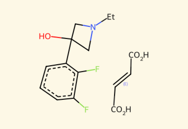 CCN1CC(O)(c2cccc(F)c2F)C1.O=C(O)/C=C/C(=O)O